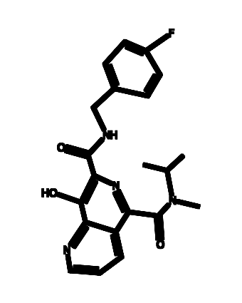 CC(C)N(C)C(=O)c1nc(C(=O)NCc2ccc(F)cc2)c(O)c2ncccc12